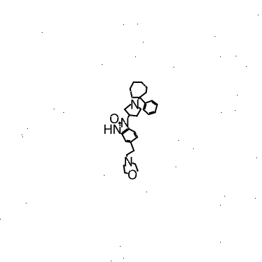 O=c1[nH]c2cc(CCN3CCOCC3)ccc2n1C1CCN(C2(c3ccccc3)CCCCCC2)CC1